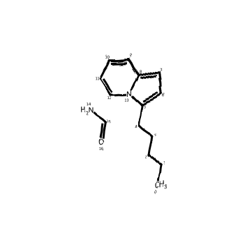 CCCCCc1ccc2ccccn12.NC=O